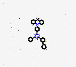 CC1(C)c2ccccc2N(c2ccc(-c3nc(-c4ccccc4)nc(-c4ccc5sc6ccccc6c5c4)n3)cc2)c2ccccc21